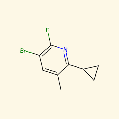 Cc1cc(Br)c(F)nc1C1CC1